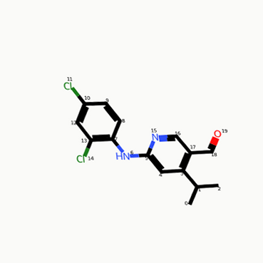 CC(C)c1cc(Nc2ccc(Cl)cc2Cl)ncc1C=O